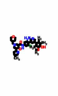 BOc1c(B)c(-c2cnc(N)c(-c3ccc(NC(=O)c4cn(CC5CCOCC5)cc(-c5ccc(C)cn5)c4=O)cc3F)c2)c(B)c(B)c1O